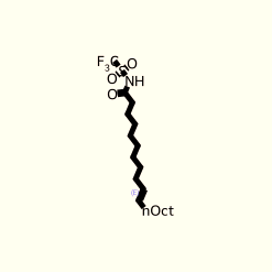 CCCCCCCC/C=C/CCCCCCCCC(=O)NS(=O)(=O)C(F)(F)F